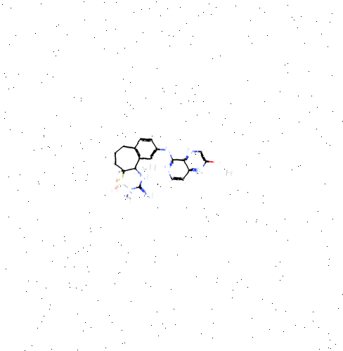 COc1cnc2c(Nc3ccc4c(c3)[C@@]3(C)NC(=N)N(C)S(=O)(=O)[C@H]3CCC4)nccc2n1